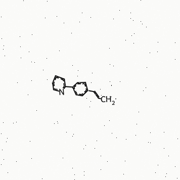 [CH2]C=Cc1ccc(-c2ccccn2)cc1